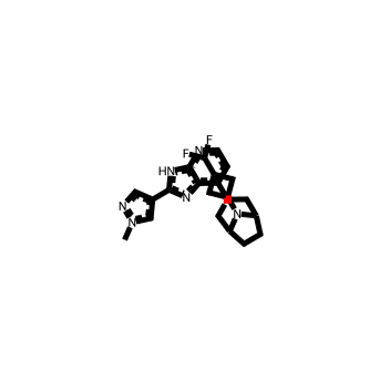 Cn1cc(-c2nc3c(N4CC5CCC(C4)N5C4CC(C(F)F)C4)ccnc3[nH]2)cn1